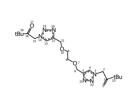 C=C(Cn1cc(COCCOCc2cn(CC(=O)C(C)(C)C)nn2)nn1)C(C)(C)C